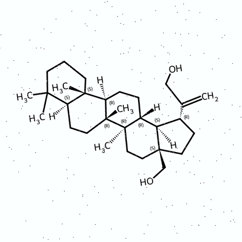 C=C(CO)[C@@H]1CC[C@]2(CO)CC[C@]3(C)[C@H](CC[C@@H]4[C@@]5(C)CCCC(C)(C)[C@@H]5CC[C@]43C)[C@@H]12